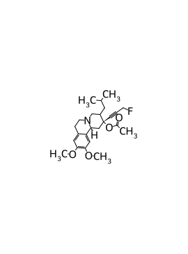 COc1cc2c(cc1OC)[C@H]1C[C@@](C#CCF)(OC(C)=O)C(CC(C)C)CN1CC2